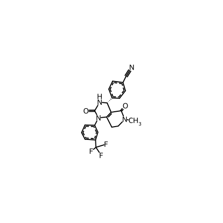 CN1CCC2=C(C1=O)[C@@H](c1ccc(C#N)cc1)NC(=O)N2c1cccc(C(F)(F)F)c1